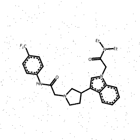 CCN(CC)C(=O)Cn1cc(C2CCN(CC(=O)Nc3ccc(C(F)(F)F)cc3)C2)c2ccccc21